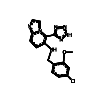 COc1cc(Cl)ccc1CNc1ccc2nccn2c1-c1nn[nH]n1